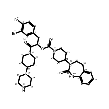 O=C(OC(Cc1ccc(Br)c(Br)c1)C(=O)N1CCC(N2CCNCC2)CC1)N1CCC(N2CCc3ccccc3NC2=O)CC1